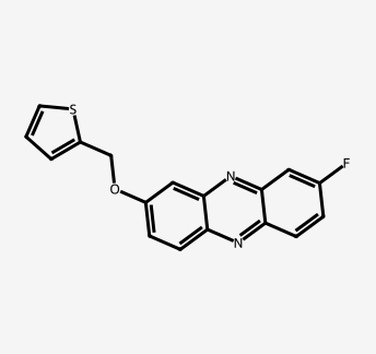 Fc1ccc2nc3ccc(OCc4cccs4)cc3nc2c1